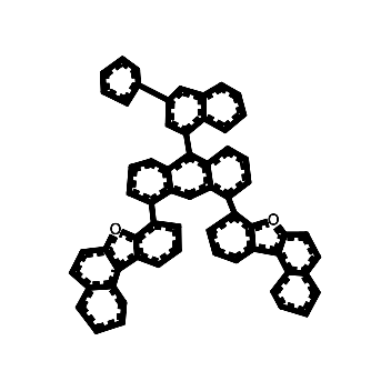 c1ccc(-c2cc(-c3c4cccc(-c5cccc6c5oc5ccc7ccccc7c56)c4cc4c(-c5cccc6c5oc5ccc7ccccc7c56)cccc34)c3ccccc3c2)cc1